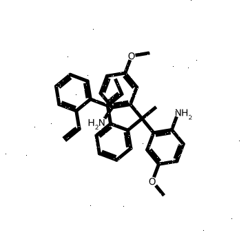 C=Cc1ccccc1/C(=C\C)c1ccccc1C(C)(c1cc(OC)ccc1N)c1cc(OC)ccc1N